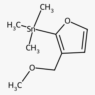 COCc1cco[c]1[Sn]([CH3])([CH3])[CH3]